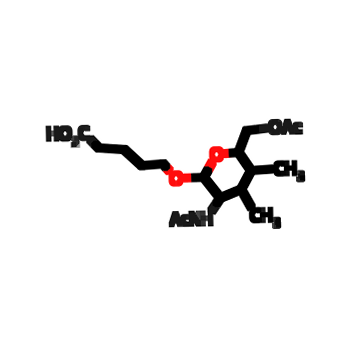 CC(=O)NC1C(OCCCCC(=O)O)OC(COC(C)=O)C(C)C1C